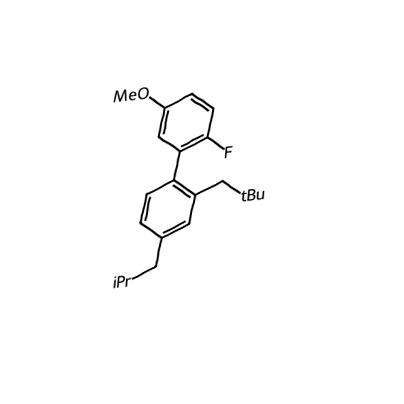 COc1ccc(F)c(-c2ccc(CC(C)C)cc2CC(C)(C)C)c1